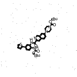 CC(C)(C)OC(=O)Nc1ccc(-c2cccs2)cc1NC(=O)c1cc2ccc(N3CCN(C(=O)OC(C)(C)C)CC3)cc2cn1